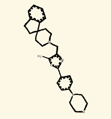 Cc1oc(-c2ccc(N3CCOCC3)cc2)nc1CN1CCC2(CCc3ccccc32)CC1